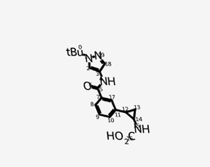 CC(C)(C)n1cc(NC(=O)c2cccc(C3CC3NC(=O)O)c2)cn1